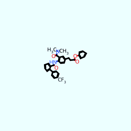 CN(C)C(=O)c1cc(CCC(=O)Oc2ccccc2)ccc1NC(=O)c1ccccc1-c1ccc(C(F)(F)F)cc1